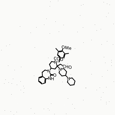 COc1c(C)cc(C[N@+]2(C(=O)[O-])CCC(N3CCc4ccccc4NC3=O)CC2(CC=O)N2CCC(N3CCCCC3)CC2)cc1C